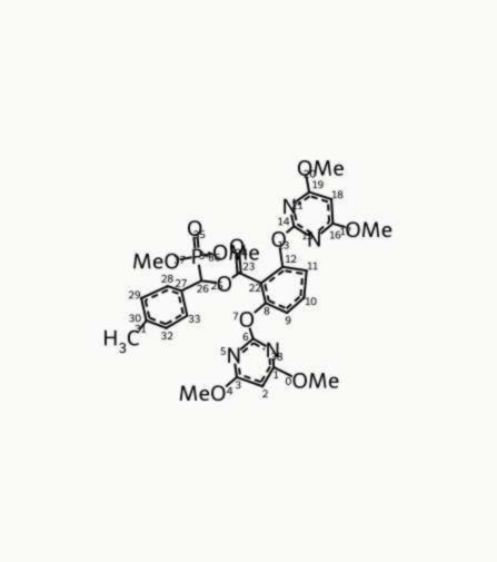 COc1cc(OC)nc(Oc2cccc(Oc3nc(OC)cc(OC)n3)c2C(=O)OC(c2ccc(C)cc2)P(=O)(OC)OC)n1